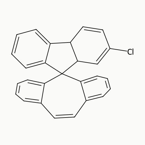 ClC1=CC2C(C=C1)c1ccccc1C21c2ccccc2C=Cc2ccccc21